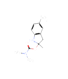 CCCN(C(=O)OC1(C)Cc2cc([N+](=O)[O-])ccc2N1)C(C)(C)C